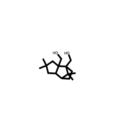 CC1(C)CC2C3CCC(CO)(C3(C)C)C2(CO)C1